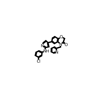 O=C1COc2ccc(-c3ccnc(Nc4cccc(Cl)c4)c3)cc2N1Cc1ccccn1